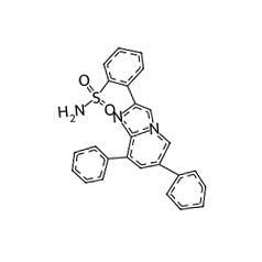 NS(=O)(=O)c1ccccc1-c1cn2cc(-c3ccccc3)cc(-c3ccccc3)c2n1